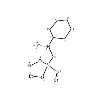 [CH2]N(C[Si](OCC)(OCC)OCC)C1CCCCC1